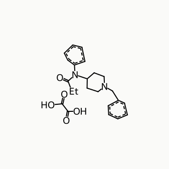 CCC(=O)N(c1ccccc1)C1CCN(Cc2ccccc2)CC1.O=C(O)C(=O)O